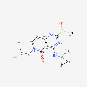 C[S+]([O-])c1nc(NC2(C)CC2)c2c(=O)n(CC(F)F)ccc2n1